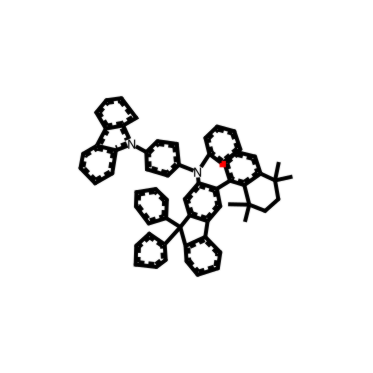 CC1(C)CCC(C)(C)c2c(-c3cc4c(cc3N(c3ccccc3)c3ccc(-n5c6ccccc6c6ccccc65)cc3)C(c3ccccc3)(c3ccccc3)c3ccccc3-4)cccc21